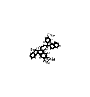 CCC1(CC)c2ccccc2-c2c1c1c(c3cc(OC)c(OC)cc23)OC(c2ccc(OC)cc2)(c2ccc3ccccc3c2)C=C1